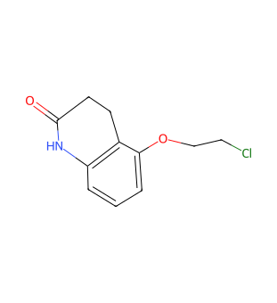 O=C1CCc2c(cccc2OCCCl)N1